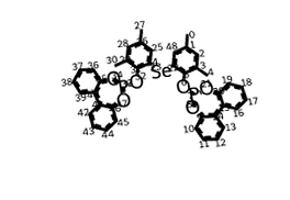 Cc1cc(C)c(Op2oc3ccccc3c3ccccc3o2)c([Se]c2cc(C)cc(C)c2Op2oc3ccccc3c3ccccc3o2)c1